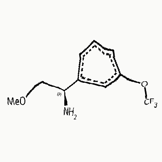 COC[C@H](N)c1cccc(OC(F)(F)F)c1